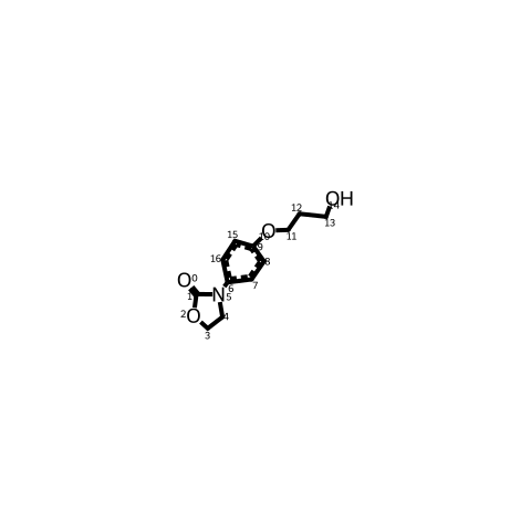 O=C1OCCN1c1ccc(OCCCO)cc1